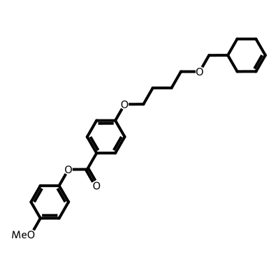 COc1ccc(OC(=O)c2ccc(OCCCCOCC3CC=CCC3)cc2)cc1